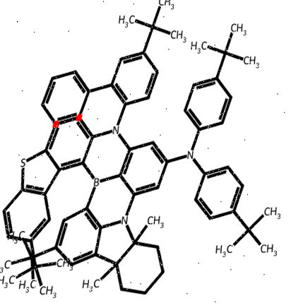 CC(C)(C)c1ccc(N(c2ccc(C(C)(C)C)cc2)c2cc3c4c(c2)N2c5c(cc(C(C)(C)C)cc5C5(C)CCCCC25C)B4c2c(ccc4sc5ccc(C(C)(C)C)cc5c24)N3c2ccc(C(C)(C)C)cc2-c2ccccc2)cc1